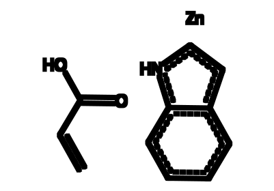 C=CC(=O)O.[Zn].c1ccc2[nH]ccc2c1